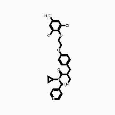 Cc1cc(Cl)c(OCCOc2ccc(CC(CN)C(=O)N(Cc3ccncc3)C3CC3)cc2)c(Cl)c1